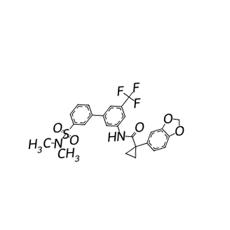 CN(C)S(=O)(=O)c1cccc(-c2cc(NC(=O)C3(c4ccc5c(c4)OCO5)CC3)cc(C(F)(F)F)c2)c1